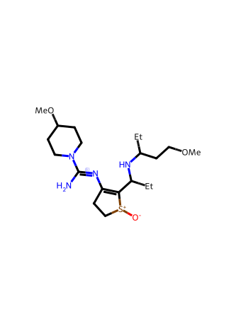 CCC(CCOC)NC(CC)C1=C(/N=C(\N)N2CCC(OC)CC2)CC[S+]1[O-]